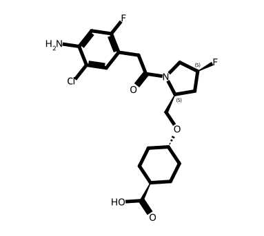 Nc1cc(F)c(CC(=O)N2C[C@@H](F)C[C@H]2CO[C@H]2CC[C@H](C(=O)O)CC2)cc1Cl